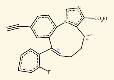 C#Cc1ccc2c(c1)/C(c1ccccc1F)=C\CC[C@@H](C)c1c(C(=O)OCC)ncn1-2